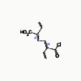 C=C/C(=C\C=C(/C=C)C(=O)Cl)C(=O)O